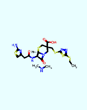 CCSc1nnc(SCC2(C(=O)O)CS[C@@H]3C(NC(=O)Cc4csc(N)n4)C(=O)N3C2)s1.CNC